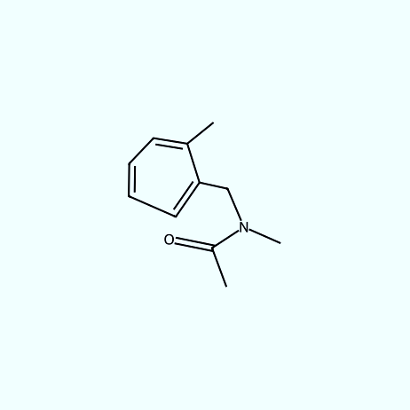 CC(=O)N(C)Cc1ccccc1C